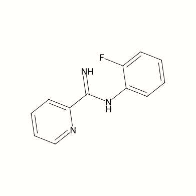 N=C(Nc1ccccc1F)c1ccccn1